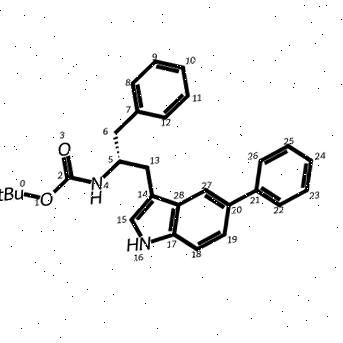 CC(C)(C)OC(=O)N[C@H](Cc1ccccc1)Cc1c[nH]c2ccc(-c3ccccc3)cc12